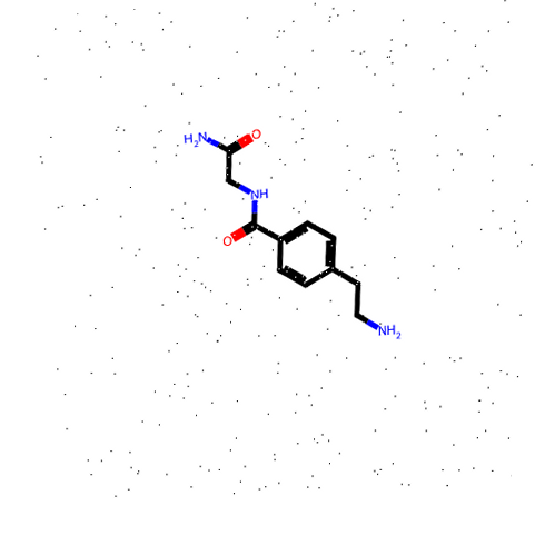 NCCc1ccc(C(=O)NCC(N)=O)cc1